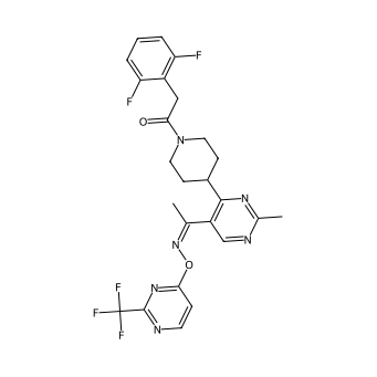 CC(=NOc1ccnc(C(F)(F)F)n1)c1cnc(C)nc1C1CCN(C(=O)Cc2c(F)cccc2F)CC1